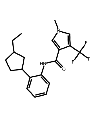 CCC1CCC(c2ccccc2NC(=O)c2cn(C)cc2C(F)(F)F)C1